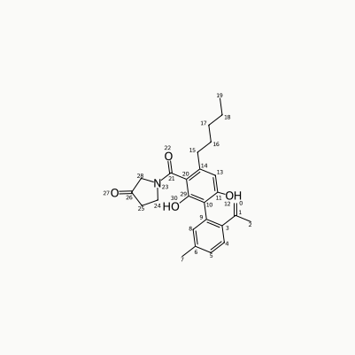 C=C(C)c1ccc(C)cc1-c1c(O)cc(CCCCC)c(C(=O)N2CCC(=O)C2)c1O